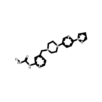 CCNC(=O)Nc1cc(CN2CCN(c3ccc(-n4cccn4)nc3)CC2)ccn1